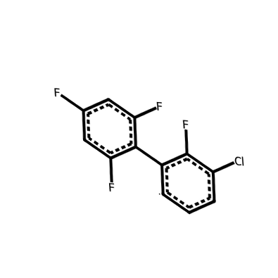 Fc1cc(F)c(-c2[c]ccc(Cl)c2F)c(F)c1